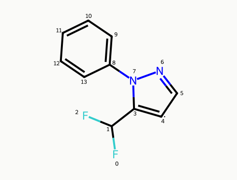 FC(F)c1[c]cnn1-c1ccccc1